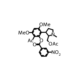 COc1cc(OC)c(C2CCN(C)C2COC(C)=O)c(OC(=O)c2cccc([N+](=O)[O-])c2)c1C(C)=O